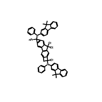 CCCC1(N(c2ccccc2)c2ccc3c(c2)C(C)(C)c2ccccc2-3)c2cc3c(cc21)C(CC)(CC)c1cc2c(cc1-3)CC2(CC)N(c1ccccc1)c1ccc2c(c1)C(C)(C)c1ccccc1-2